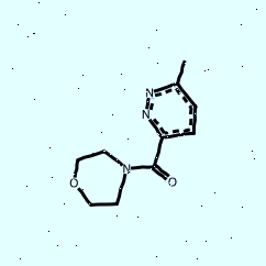 Cc1ccc(C(=O)N2CCOCC2)nn1